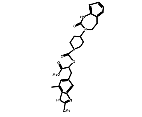 COC(=O)C(Cc1cc(C)c2[nH]c(OC)nc2c1)OC(=O)N1CCC(N2CCc3ccccc3NC2=O)CC1